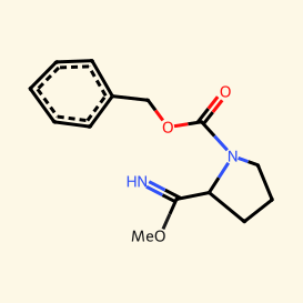 COC(=N)C1CCCN1C(=O)OCc1ccccc1